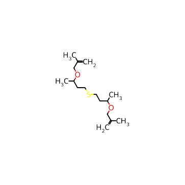 C=C(C)COC(C)CCSCCC(C)OCC(=C)C